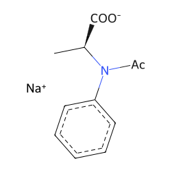 CC(=O)N(c1ccccc1)[C@@H](C)C(=O)[O-].[Na+]